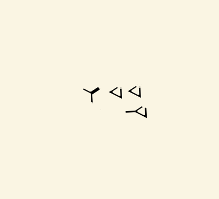 C1CO1.C1CO1.C=C(C)C(=O)O.CC1CO1